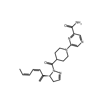 C=C(/C=C\C=C/C)[C@@H]1CC=NN1C(=O)C1CCN(c2cncc(C(N)=O)n2)CC1